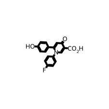 O=C(O)c1cn(-c2ccc(F)cc2)c(-c2ccc(O)cc2)cc1=O